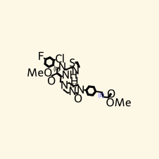 COC(=O)/C=C/c1ccc(N2C[C@@H]3CN(CC4=C(C(=O)OC)[C@H](c5ccc(F)cc5Cl)N=C(c5nccs5)N4)CCN3C2=O)cc1